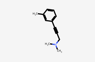 Cc1cccc(C#CCN(C)C)c1